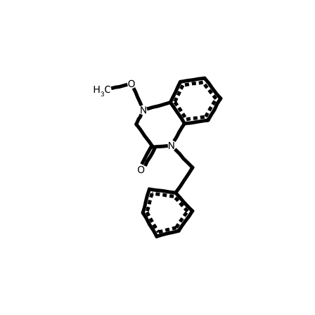 CON1CC(=O)N(Cc2ccccc2)c2ccccc21